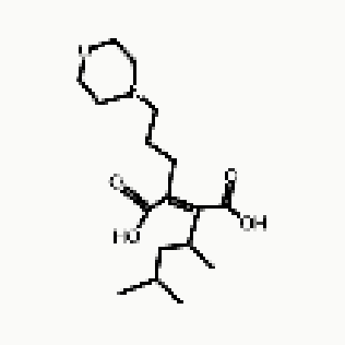 CC(C)CC(C)C(C(=O)O)=C(CCCN1CCOCC1)C(=O)O